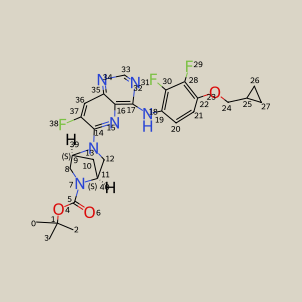 CC(C)(C)OC(=O)N1C[C@@H]2C[C@H]1CN2c1nc2c(Nc3ccc(OCC4CC4)c(F)c3F)ncnc2cc1F